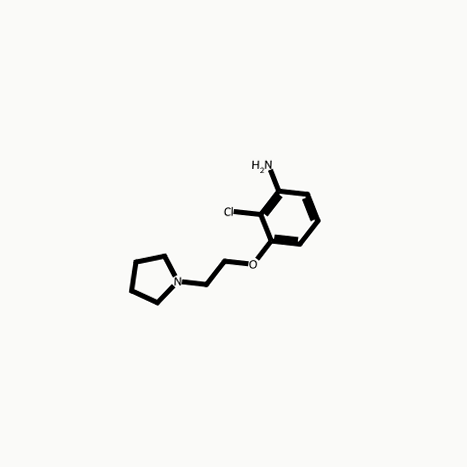 Nc1cccc(OCCN2CCCC2)c1Cl